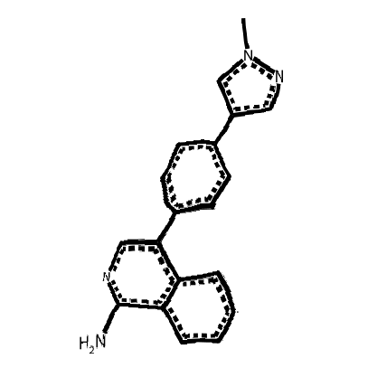 Cn1cc(-c2ccc(-c3cnc(N)c4cc[c]cc34)cc2)cn1